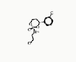 O=P1(NCCCl)OCC[C@@H](c2cccc(Cl)c2)O1